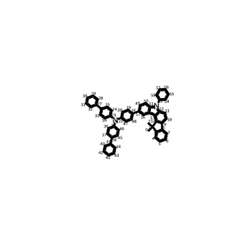 CC1(C)c2ccccc2-c2ccc3c(c21)c1cc(-c2ccc(N(c4ccc(-c5ccccc5)cc4)c4ccc(-c5ccccc5)cc4)cc2)ccc1n3-c1ccccc1